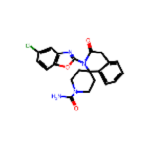 NC(=O)N1CCC2(CC1)c1ccccc1CC(=O)N2c1nc2cc(Cl)ccc2o1